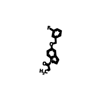 C=CC(=O)n1ccc2cc(OCc3cccc(F)c3)ccc21